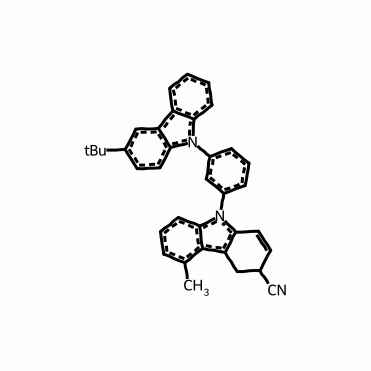 Cc1cccc2c1c1c(n2-c2cccc(-n3c4ccccc4c4cc(C(C)(C)C)ccc43)c2)C=CC(C#N)C1